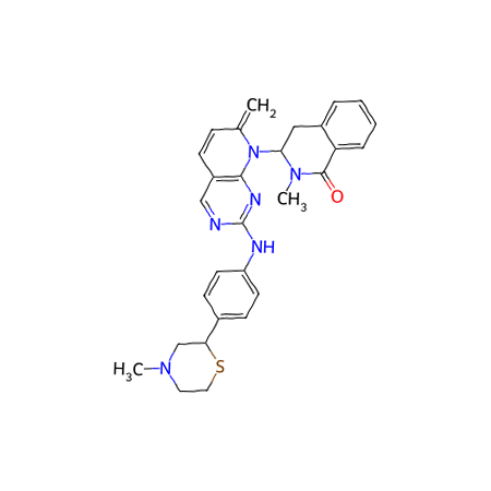 C=C1C=Cc2cnc(Nc3ccc(C4CN(C)CCS4)cc3)nc2N1C1Cc2ccccc2C(=O)N1C